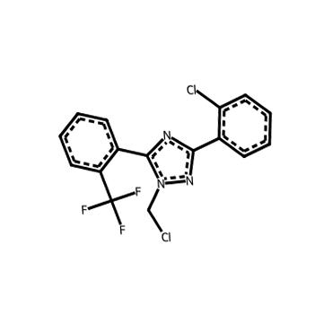 FC(F)(F)c1ccccc1-c1nc(-c2ccccc2Cl)nn1CCl